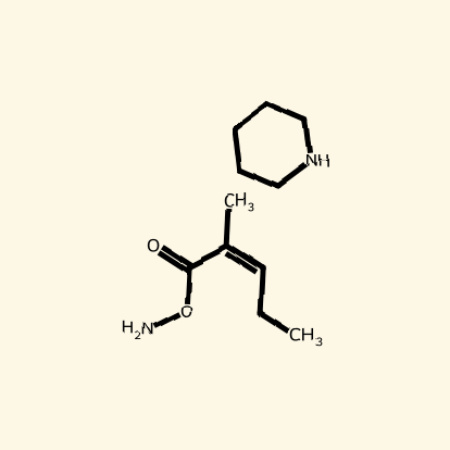 C1CCNCC1.CCC=C(C)C(=O)ON